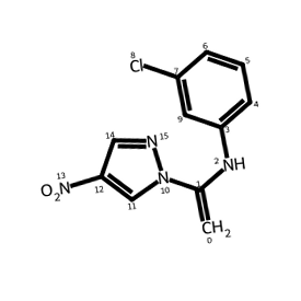 C=C(Nc1cccc(Cl)c1)n1cc([N+](=O)[O-])cn1